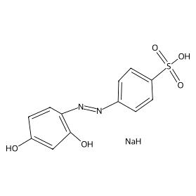 O=S(=O)(O)c1ccc(N=Nc2ccc(O)cc2O)cc1.[NaH]